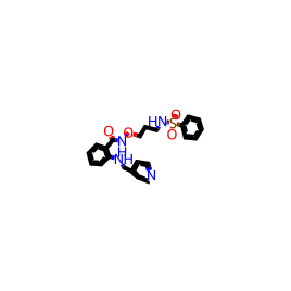 O=C(NOCCCNS(=O)(=O)c1ccccc1)c1ccccc1NCc1ccncc1